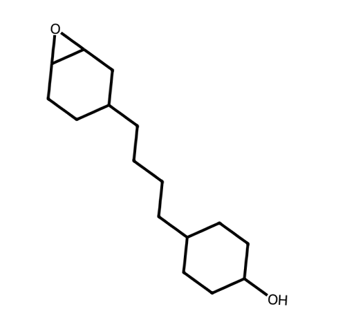 OC1CCC(CCCCC2CCC3OC3C2)CC1